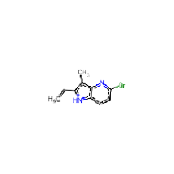 C=Cc1[nH]c2ccc(Br)nc2c1C